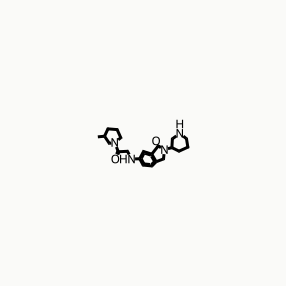 CC1CCCN(C(=O)CNc2ccc3c(c2)C(=O)N(C2CCCNC2)C3)C1